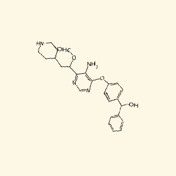 Nc1c(Oc2ccc(C(O)c3ccccc3)cc2)ncnc1C(CC1CCNCC1)OC=O